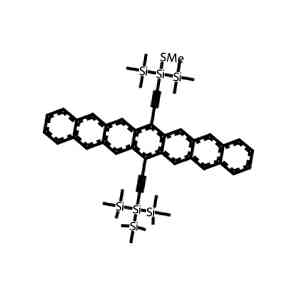 CS[Si](C#Cc1c2cc3cc4ccccc4cc3cc2c(C#C[Si]([Si](C)(C)C)([Si](C)(C)C)[Si](C)(C)C)c2cc3cc4ccccc4cc3cc12)([Si](C)(C)C)[Si](C)(C)C